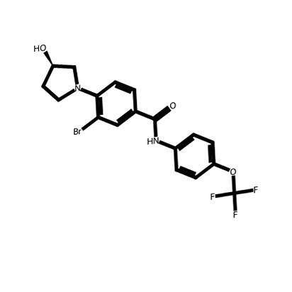 O=C(Nc1ccc(OC(F)(F)F)cc1)c1ccc(N2CC[C@@H](O)C2)c(Br)c1